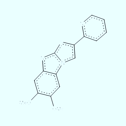 COc1cc2nc3sc(-c4ccccn4)cn3c2cc1OC